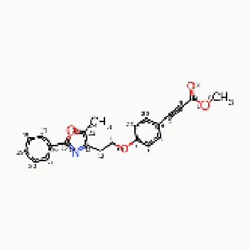 COC(=O)C#Cc1ccc(OCCc2nc(-c3ccccc3)oc2C)cc1